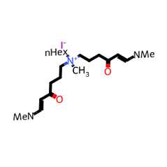 CCCCCC[N+](C)(CCCC(=O)C=CNC)CCCC(=O)C=CNC.[I-]